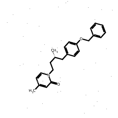 Cc1ccn(CC[C@H](C)Cc2ccc(OCc3ccccc3)cc2)c(=O)c1